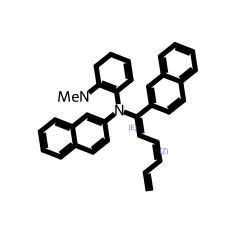 C=C/C=C\C=C(/c1ccc2ccccc2c1)N(C1=C(NC)CCC=C1)c1ccc2ccccc2c1